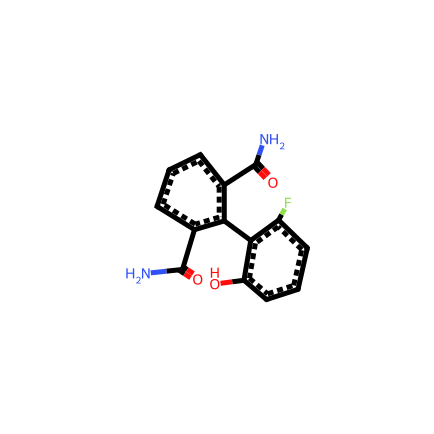 NC(=O)c1cccc(C(N)=O)c1-c1c(O)cccc1F